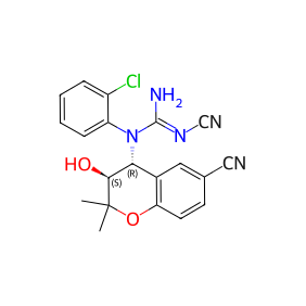 CC1(C)Oc2ccc(C#N)cc2[C@@H](N(C(N)=NC#N)c2ccccc2Cl)[C@@H]1O